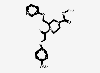 COc1ccc(OCC(=O)N2CCN(C(=O)OC(C)(C)C)CC2COc2cccnc2)cc1